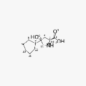 O=C(O)[C@@H]1CC(O)(C2CCCCC2)CN1